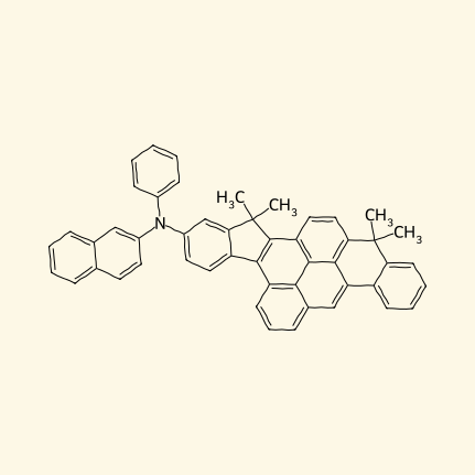 CC1(C)c2cc(N(c3ccccc3)c3ccc4ccccc4c3)ccc2-c2c1c1ccc3c4c(cc5cccc2c5c14)-c1ccccc1C3(C)C